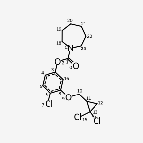 O=C(Oc1ccc(Cl)c(OCC2CC2(Cl)Cl)c1)N1CCCCCC1